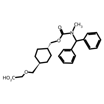 CN(C(=O)OC[C@H]1CC[C@H](COCC(=O)O)CC1)C(c1ccccc1)c1ccccc1